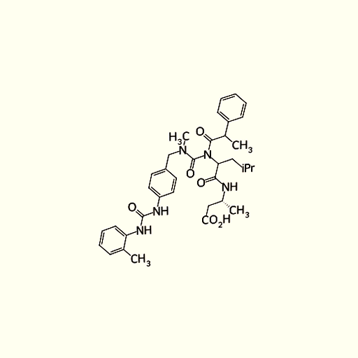 Cc1ccccc1NC(=O)Nc1ccc(CN(C)C(=O)N(C(=O)C(C)c2ccccc2)C(CC(C)C)C(=O)N[C@H](C)CC(=O)O)cc1